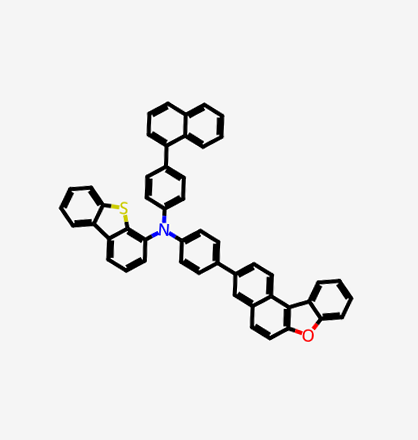 c1ccc2c(-c3ccc(N(c4ccc(-c5ccc6c(ccc7oc8ccccc8c76)c5)cc4)c4cccc5c4sc4ccccc45)cc3)cccc2c1